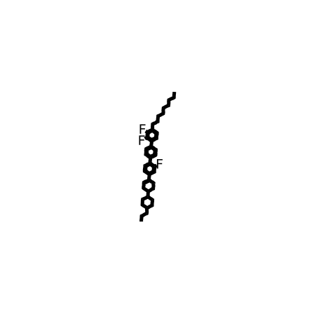 CCCCCCCCCc1ccc(-c2ccc(-c3ccc(C4=CCC(C5CCC(CCC)CC5)CC4)cc3F)cc2)c(F)c1F